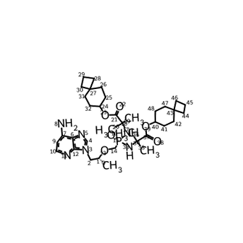 C[C@H](Cn1cnc2c(N)ccnc21)OCP(=O)(NC(C)(C)C(=O)OC1CCC2(CCC2)CC1)NC(C)(C)C(=O)OC1CCC2(CCC2)CC1